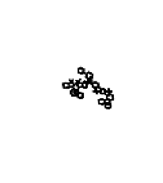 CC1(C)c2cc(N(c3cccc(-c4ccccc4)c3)c3ccc4c(c3)C(C)(C)c3c5c(c6oc7ccccc7c6c3-4)-c3ccccc3C5(C)C)ccc2-c2cc3c(cc21)-c1c(ccc2c1-c1ccccc1OC2)C3(C)C